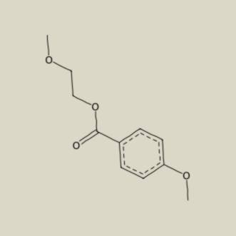 COCCOC(=O)c1ccc(OC)cc1